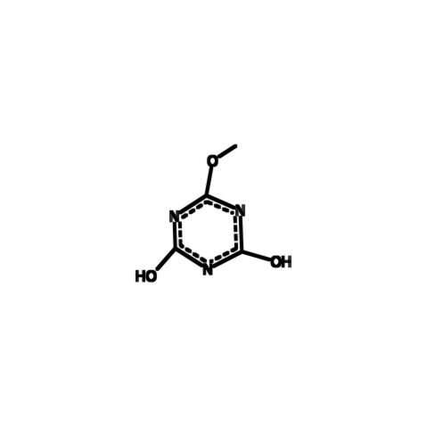 COc1nc(O)nc(O)n1